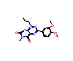 CC[C@H](C)n1nc(-c2ccc(OC)c(OC)c2)nc2c(=O)n(C)c(=O)nc1-2